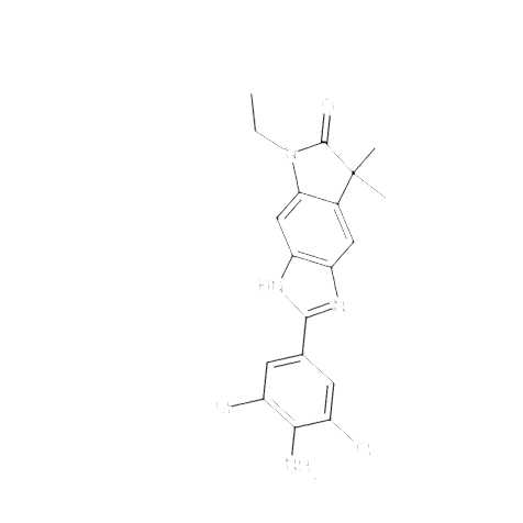 CCN1C(=O)C(C)(C)c2cc3nc(-c4cc(Cl)c(N)c(Cl)c4)[nH]c3cc21